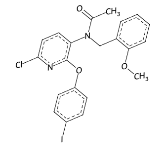 COc1ccccc1CN(C(C)=O)c1ccc(Cl)nc1Oc1ccc(I)cc1